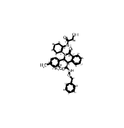 Cc1ccc(C2[C@H](C(=O)NOCc3ccccc3)c3ccccc3C(=O)N2[C@H]2CCCCC2NC(=O)CO)c(C)c1